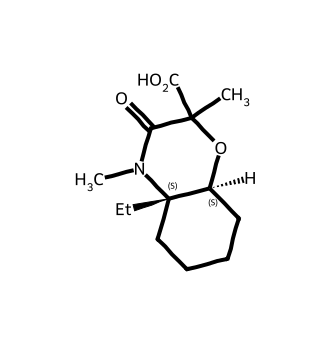 CC[C@]12CCCC[C@@H]1OC(C)(C(=O)O)C(=O)N2C